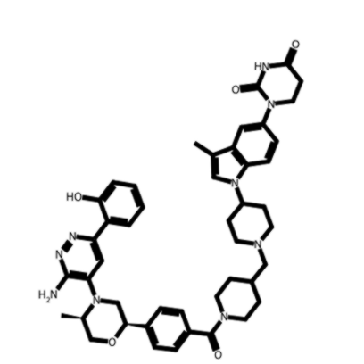 Cc1cn(C2CCN(CC3CCN(C(=O)c4ccc([C@@H]5CN(c6cc(-c7ccccc7O)nnc6N)[C@H](C)CO5)cc4)CC3)CC2)c2ccc(N3CCC(=O)NC3=O)cc12